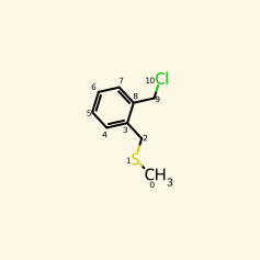 CSCc1ccccc1CCl